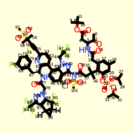 CC(=O)C(CC(=O)OC(C)(C)C)NC(=O)Cc1cc(C)cc(OP(=O)(OC(C)C)OC(C)C)c1C(C)(C)CC(=O)N(c1nn(CC(F)(F)F)c2c(-c3ccc(C#CC(C)(C)S(C)(=O)=O)nc3[C@H](Cc3cc(F)cc(F)c3)NC(=O)Cn3nc(C(F)(F)F)c4c3C(F)(F)[C@@H]3C[C@H]43)ccc(Cl)c12)S(C)(=O)=O